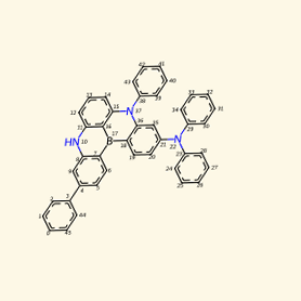 c1ccc(-c2ccc3c(c2)Nc2cccc4c2B3c2ccc(N(c3ccccc3)c3ccccc3)cc2N4c2ccccc2)cc1